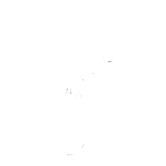 CCCCC/C=C\C/C=C\CCCCCCCCOCC(CN(C)C)OCCO[C@H]1CC[C@@]2(C)C(=CCC3C4CCC(C(C)CCCC(C)C)[C@@]4(C)CCC32)C1